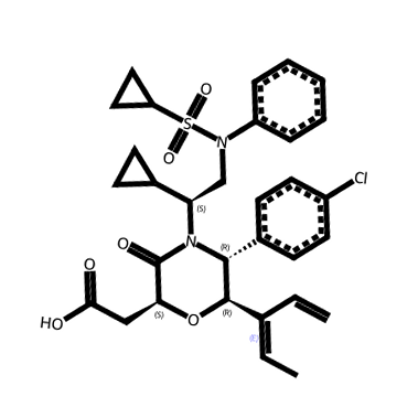 C=C/C(=C\C)[C@H]1O[C@@H](CC(=O)O)C(=O)N([C@H](CN(c2ccccc2)S(=O)(=O)C2CC2)C2CC2)[C@@H]1c1ccc(Cl)cc1